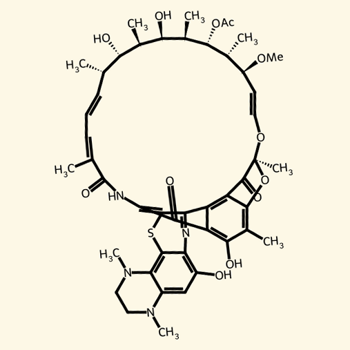 CO[C@H]1/C=C/O[C@@]2(C)Oc3c(C)c(O)c4c(=O)c(c5sc6c7c(cc(O)c6nc-5c4c3C2=O)N(C)CCN7C)NC(=O)/C(C)=C\C=C\[C@H](C)[C@H](O)[C@@H](C)[C@@H](O)[C@@H](C)[C@H](OC(C)=O)[C@@H]1C